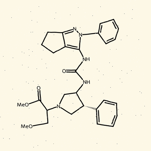 COCC(C(=O)OC)N1CC(NC(=O)Nc2c3c(nn2-c2ccccc2)CCC3)[C@H](c2ccccc2)C1